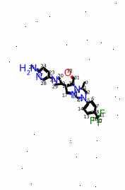 CC(CN(C)c1ccc(C(F)(F)F)cc1)n1ncc(C2CN(c3ccc(N)nc3)C2)c1C=O